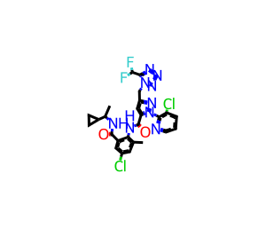 Cc1cc(Cl)cc(C(=O)NC(C)C2CC2)c1NC(=O)c1cc(Cn2nnnc2C(F)F)nn1-c1ncccc1Cl